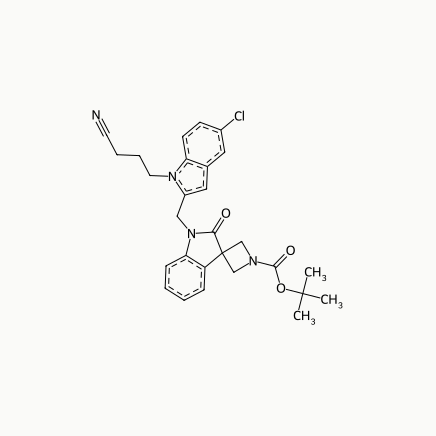 CC(C)(C)OC(=O)N1CC2(C1)C(=O)N(Cc1cc3cc(Cl)ccc3n1CCCC#N)c1ccccc12